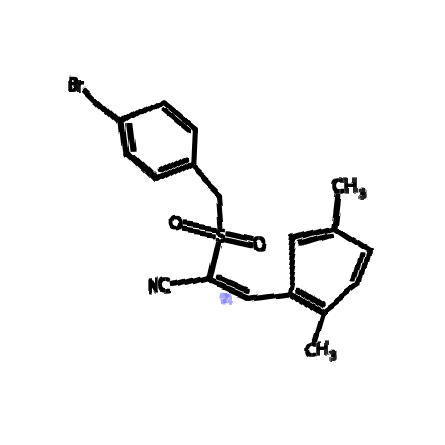 Cc1ccc(C)c(/C=C(/C#N)S(=O)(=O)Cc2ccc(Br)cc2)c1